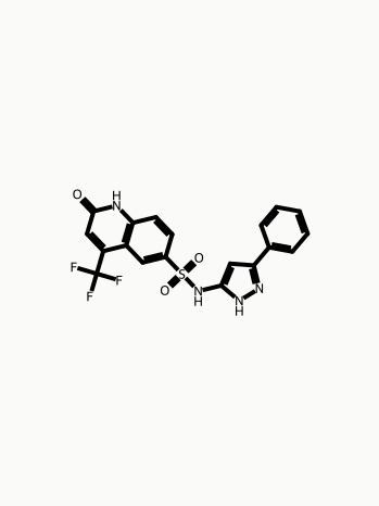 O=c1cc(C(F)(F)F)c2cc(S(=O)(=O)Nc3cc(-c4ccccc4)n[nH]3)ccc2[nH]1